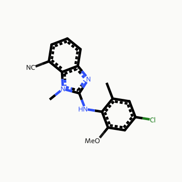 COc1cc(Cl)cc(C)c1Nc1nc2cccc(C#N)c2n1C